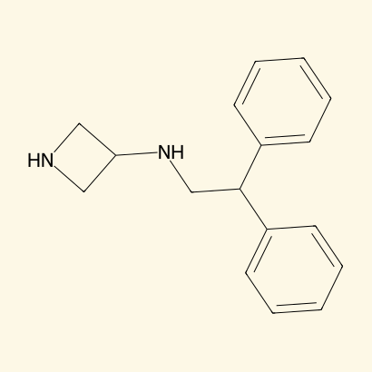 c1ccc(C(CNC2CNC2)c2ccccc2)cc1